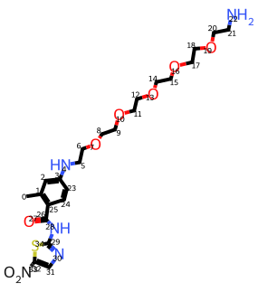 Cc1cc(NCCOCCOCCOCCOCCOCCN)ccc1C(=O)Nc1ncc([N+](=O)[O-])s1